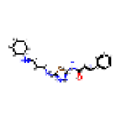 O=C(/C=C/c1ccccc1)Nc1nnc(NCCCNC2CCCCC2)s1